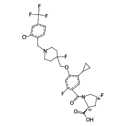 O=C(O)[C@@H]1C[C@@H](F)CN1C(=O)c1cc(C2CC2)c(OCC2(F)CCN(Cc3ccc(C(F)(F)F)cc3Cl)CC2)cc1F